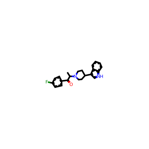 CC(C(=O)c1ccc(F)cc1)N1CCC(c2c[nH]c3ccccc23)CC1